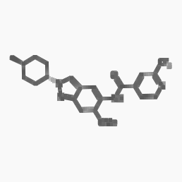 COc1cc2nn([C@H]3CC[C@H](C)CC3)cc2cc1NC(=O)c1ccnc(C(F)(F)F)c1